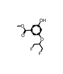 COC(=O)c1cc(O)cc(OC(CF)CF)c1